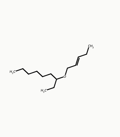 CCC=CCOC(CC)CCCCCC